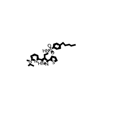 CCCCCc1ccc(S(=O)(=O)NCCc2c(-c3cccs3)n[nH]c2-c2cccc(N(C)C(C)C)n2)cc1